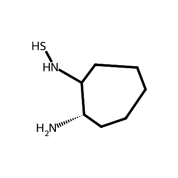 N[C@H]1CCCCCC1NS